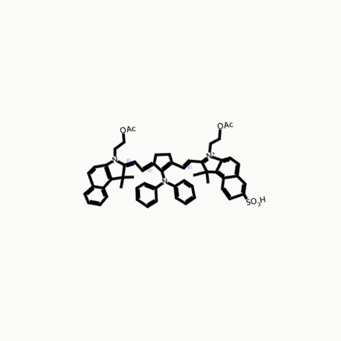 CC(=O)OCCN1/C(=C/C=C2\CCC(/C=C/C3=[N+](CCOC(C)=O)c4ccc5cc(S(=O)(=O)O)ccc5c4C3(C)C)=C2N(c2ccccc2)c2ccccc2)C(C)(C)c2c1ccc1ccccc21